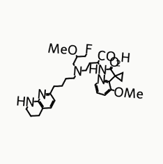 COc1cccnc1C1(C(=O)NC(CCN(CCCCc2ccc3c(n2)NCCC3)CC(CF)OC)C(=O)O)CC1